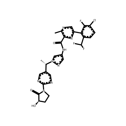 Cc1ncc(-c2c(C(F)F)ccc(Cl)c2F)nc1C(=O)Nc1cnn([C@@H](C)c2cnc(N3CC[C@@H](O)C3=O)nc2)c1